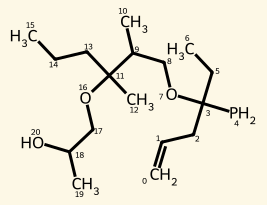 C=CCC(P)(CC)OCC(C)C(C)(CCC)OCC(C)O